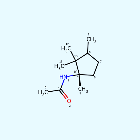 CC(=O)N[C@@]1(C)CCC(C)C1(C)C